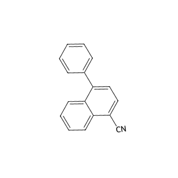 N#Cc1ccc(-c2ccccc2)c2ccccc12